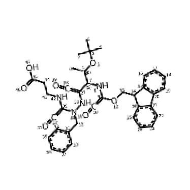 C[C@@H](OC(C)(C)C)[C@@H](NC(=C=O)OCC1c2ccccc2-c2ccccc21)C(=C=O)NN(Cc1ccccc1)C(=C=O)NCCC(=O)O